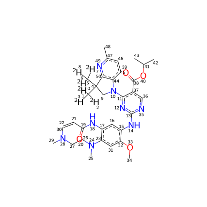 [2H]C([2H])([2H])C1(C([2H])([2H])[2H])CN(c2nc(Nc3cc(NC(=O)C=C)c(N(C)CCN(C)C)cc3OC)ncc2C(=O)OC(C)C)c2ccc(C)nc21